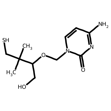 CC(C)(CS)C(CO)OCn1ccc(N)nc1=O